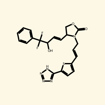 O=C1OCC(C=CC(O)C(F)(F)c2ccccc2)N1CC=Cc1ccc(-c2nnn[nH]2)s1